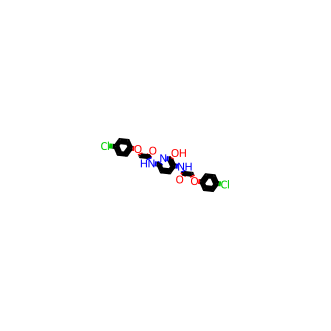 O=C(COc1ccc(Cl)cc1)Nc1ccc(NC(=O)COc2ccc(Cl)cc2)c(O)n1